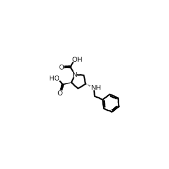 O=C(O)[C@@H]1C[C@@H](NCc2ccccc2)CN1C(=O)O